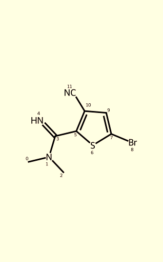 CN(C)C(=N)c1sc(Br)cc1C#N